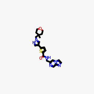 CC1(Cn2cc(-c3ccc(C(=O)NCc4cn5ccnc5cn4)s3)cn2)CCOCC1